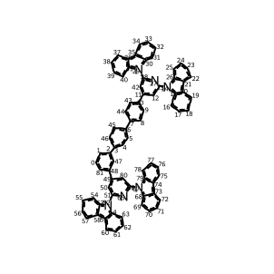 c1cc(-c2ccc(-c3ccc(-c4cc(-n5c6ccccc6c6ccccc65)nc(-n5c6ccccc6c6ccccc65)c4)cc3)cc2)cc(-c2cc(-n3c4ccccc4c4ccccc43)nc(-n3c4ccccc4c4ccccc43)c2)c1